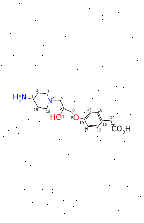 NC1CCN(CC(O)COc2ccc(CC(=O)O)cc2)CC1